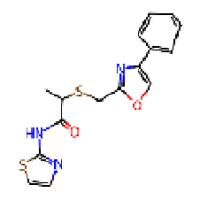 CC(SCc1nc(-c2ccccc2)co1)C(=O)Nc1nccs1